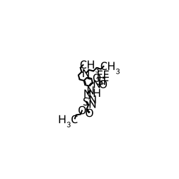 CCCCCN1c2cc(NS(=O)(=O)C(F)(F)F)c(N=Nc3nnc(C(=O)OCCC)s3)cc2CCC1CC